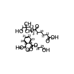 CC(C)(CO)COC(=O)CCCCC(=O)O.O=C(O)c1ccccc1C(=O)OCCO